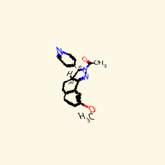 COc1ccc2c(c1)C1=NN(C(C)=O)[C@@H](c3ccncc3)[C@H]1CC2